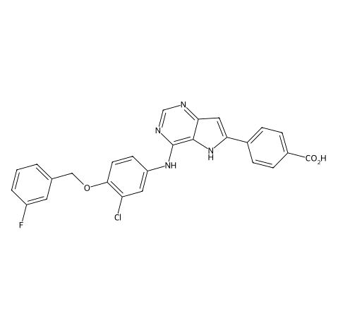 O=C(O)c1ccc(-c2cc3ncnc(Nc4ccc(OCc5cccc(F)c5)c(Cl)c4)c3[nH]2)cc1